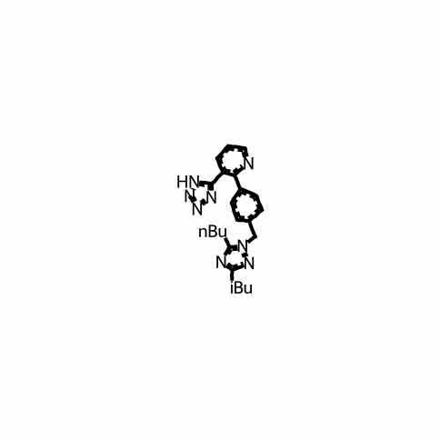 CCCCc1nc(C(C)CC)nn1Cc1ccc(-c2ncccc2-c2nnn[nH]2)cc1